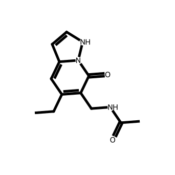 CCc1cc2cc[nH]n2c(=O)c1CNC(C)=O